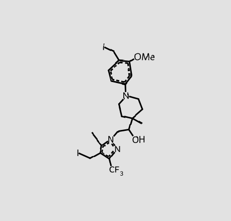 COc1cc(N2CCC(C)(C(O)Cn3nc(C(F)(F)F)c(CI)c3C)CC2)ccc1CI